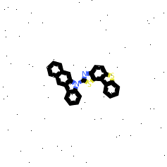 c1ccc2cc3c(cc2c1)c1ccccc1n3-c1nc2ccc3sc4ccccc4c3c2s1